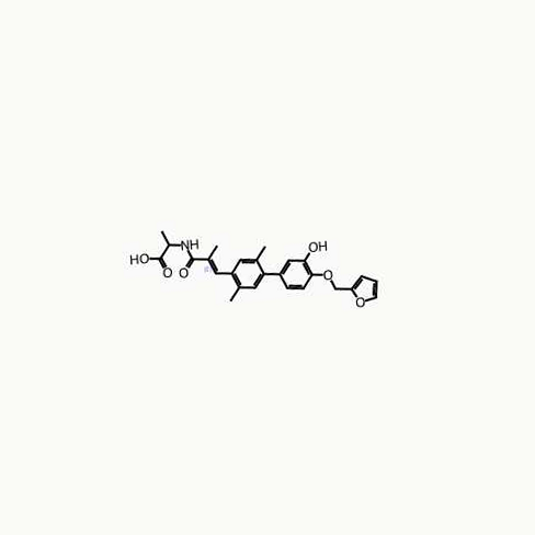 C/C(=C\c1cc(C)c(-c2ccc(OCc3ccco3)c(O)c2)cc1C)C(=O)NC(C)C(=O)O